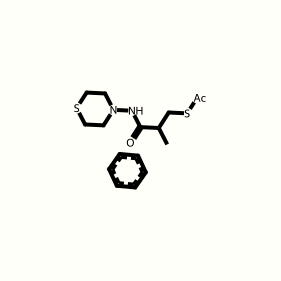 CC(=O)SCC(C)C(=O)NN1CCSCC1.c1ccccc1